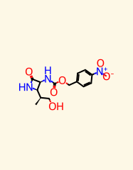 C[C@H](CO)[C@H]1NC(=O)[C@H]1NC(=O)OCc1ccc([N+](=O)[O-])cc1